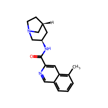 Cc1cccc2cnc(C(=O)N[C@@H]3C[C@H]4CCN(C4)C3)cc12